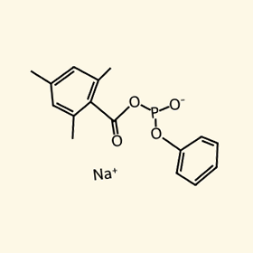 Cc1cc(C)c(C(=O)OP([O-])Oc2ccccc2)c(C)c1.[Na+]